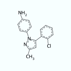 Cc1cc(-c2ccccc2Cl)n(-c2ccc(N)cc2)n1